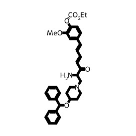 CCOC(=O)Oc1ccc(C=CC=CC(=O)C(N)CN2CCC(OC(c3ccccc3)c3ccccc3)CC2)cc1OC